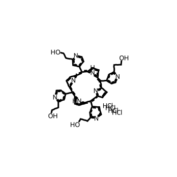 Cl.Cl.Cl.Cl.OCCc1cc(-c2c3nc(c(-c4ccnc(CCO)c4)c4ccc([nH]4)c(-c4ccnc(CCO)c4)c4nc(c(-c5ccnc(CCO)c5)c5ccc2[nH]5)C=C4)C=C3)ccn1